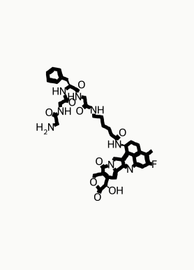 Cc1c(F)cc2nc3c(c4c2c1CC[C@@H]4NC(=O)CCCCCNC(=O)CNC(=O)[C@H](Cc1ccccc1)NC(=O)CNC(=O)CN)Cn1c-3cc2c(c1=O)COC(=O)[C@H]2O